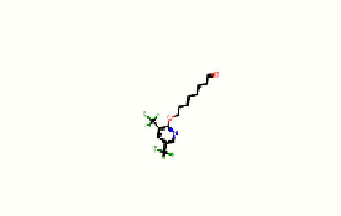 O=CCCCCCCCOc1ncc(C(F)(F)F)cc1C(F)(F)F